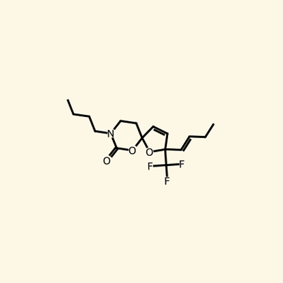 CCC=CC1(C(F)(F)F)C=CC2(CCN(CCCC)C(=O)O2)O1